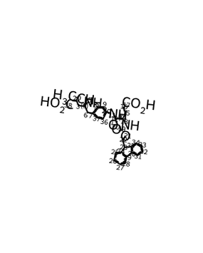 CC(C)(C[C@@H](N)Cc1ccc(NC(=O)[C@@H](CCC(=O)O)NC(=O)OCC2c3ccccc3-c3ccccc32)cc1)C(=O)O